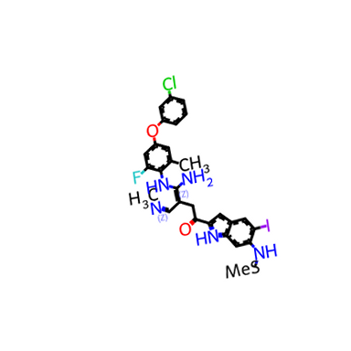 C/N=C\C(CC(=O)c1cc2cc(I)c(NSC)cc2[nH]1)=C(\N)Nc1c(C)cc(Oc2cccc(Cl)c2)cc1F